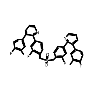 Cc1cc(-c2cccnc2-c2ccc(CS(=O)(=O)Cc3ccc(-c4ncccc4-c4ccc(F)c(C)c4)cc3F)c(F)c2)ccc1F